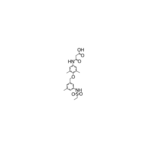 CCS(=O)(=O)Nc1cc(C)cc(COc2c(C)cc(NC(=O)CC(=O)O)cc2C)c1